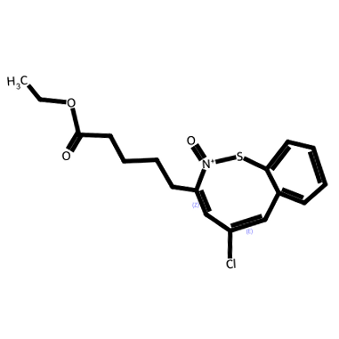 CCOC(=O)CCCC/C1=C/C(Cl)=C\c2ccccc2S[N+]1=O